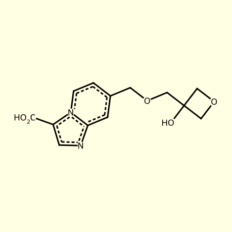 O=C(O)c1cnc2cc(COCC3(O)COC3)ccn12